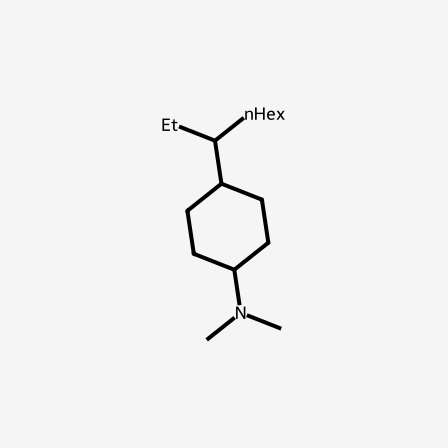 CCCCCCC(CC)C1CCC(N(C)C)CC1